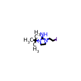 CC(C)(C)N1CCN(CCI)C1=N